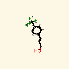 OCC=Cc1ccc(C(F)(F)F)cc1